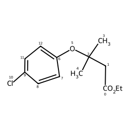 CCOC(=O)CC(C)(C)Oc1ccc(Cl)cc1